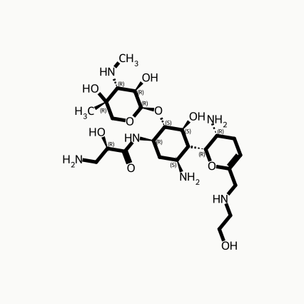 CN[C@@H]1[C@@H](O)[C@@H](O[C@H]2[C@H](NC(=O)[C@H](O)CN)C[C@H](N)C([C@H]3OC(CNCCO)=CC[C@H]3N)[C@@H]2O)OC[C@]1(C)O